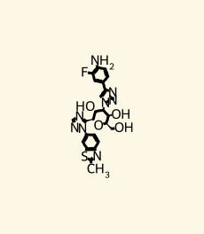 Cc1nc2ccc(-n3ncnc3[C@@H]3O[C@H](CO)[C@H](O)[C@H](n4cc(-c5ccc(N)c(F)c5)nn4)[C@H]3O)cc2s1